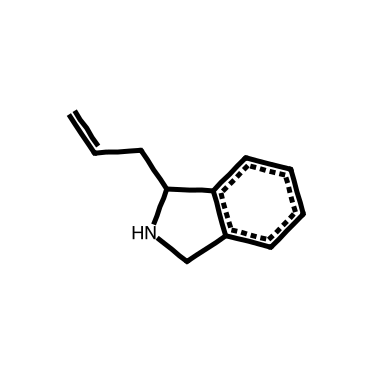 C=CCC1NCc2ccccc21